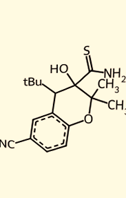 CC(C)(C)C1c2cc(C#N)ccc2OC(C)(C)C1(O)C(N)=S